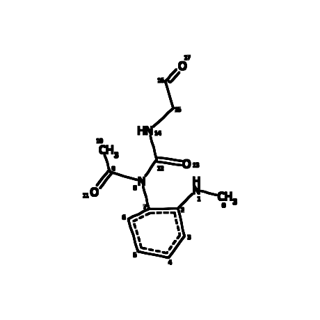 CNc1ccccc1N(C(C)=O)C(=O)NC[C]=O